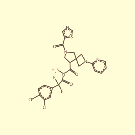 NN(C(=O)C1CN(C(=O)c2cncs2)CC12CN(c1ccccn1)C2)C(=O)C(F)(F)c1ccc(Cl)c(Cl)c1